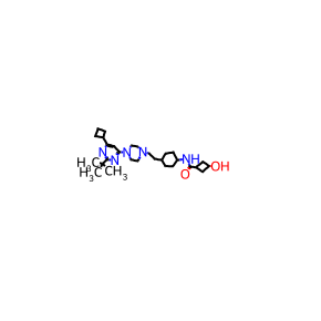 CC(C)(C)c1nc(C2CCC2)cc(N2CCN(CCC3CCC(NC(=O)C4CC(O)C4)CC3)CC2)n1